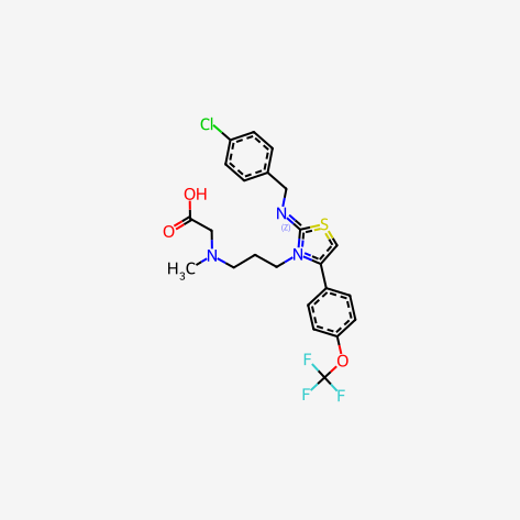 CN(CCCn1c(-c2ccc(OC(F)(F)F)cc2)cs/c1=N\Cc1ccc(Cl)cc1)CC(=O)O